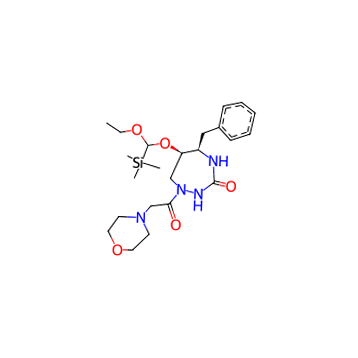 CCOC(O[C@@H]1CN(C(=O)CN2CCOCC2)NC(=O)N[C@@H]1Cc1ccccc1)[Si](C)(C)C